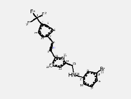 FC(F)(F)c1ccc(/C=C/c2nc(CNc3cccc(Br)c3)co2)cc1